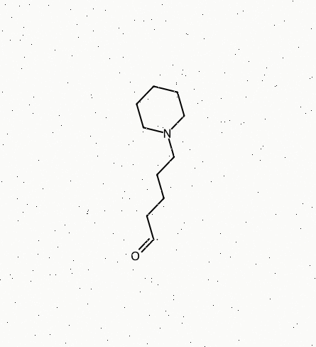 O=[C]CCCCN1CCCCC1